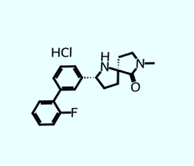 CN1CC[C@@]2(CC[C@H](c3cccc(-c4ccccc4F)c3)N2)C1=O.Cl